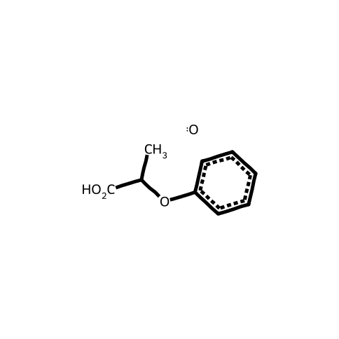 CC(Oc1ccccc1)C(=O)O.[O]